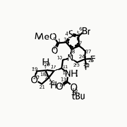 COC(=O)c1sc(Br)c2c1N(CC(NC(=O)OC(C)(C)C)[C@@H]1[C@@H]3COC[C@@H]31)CC(F)(F)C2